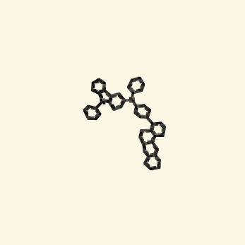 c1ccc(N(c2ccc(-c3cccc4c3ccc3cc5ccccc5cc34)cc2)c2ccc3c(c2)c2ccccc2n3-c2ccccc2)cc1